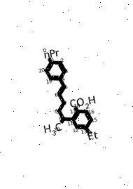 CCCc1ccc(C=CCCC(C)c2cc(CC)ccc2C(=O)O)cc1